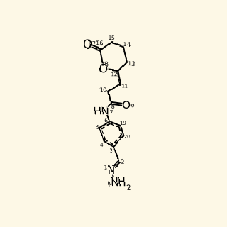 NN=Cc1ccc(NC(=O)CCC2CCCC(=O)O2)cc1